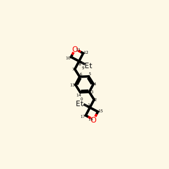 CCC1(Cc2ccc(CC3(CC)COC3)cc2)COC1